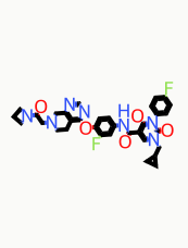 O=C(Nc1ccc(Oc2ncnc3c2CCN(CC(=O)N2CCC2)C3)c(F)c1)c1cn(CC2CC2)c(=O)n(-c2ccc(F)cc2)c1=O